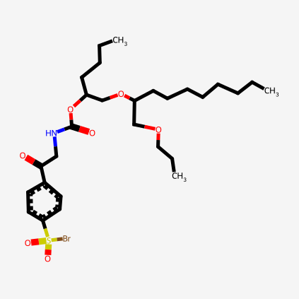 CCCCCCCCC(COCCC)OCC(CCCC)OC(=O)NCC(=O)c1ccc(S(=O)(=O)Br)cc1